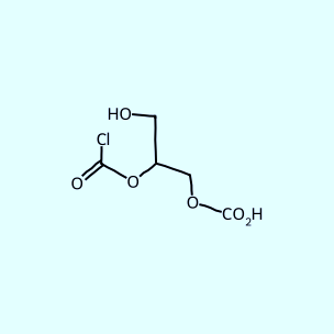 O=C(O)OCC(CO)OC(=O)Cl